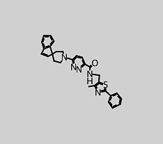 Cc1nc(-c2ccccc2)sc1CNC(=O)c1ccc(N2CCC3(C=Cc4ccccc43)CC2)nn1